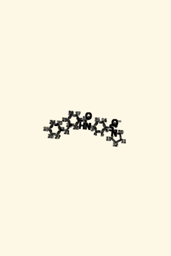 O=C(Nc1ccc([S+]([O-])N2CCCC2)cc1)c1cccc(Cc2ccccc2)c1